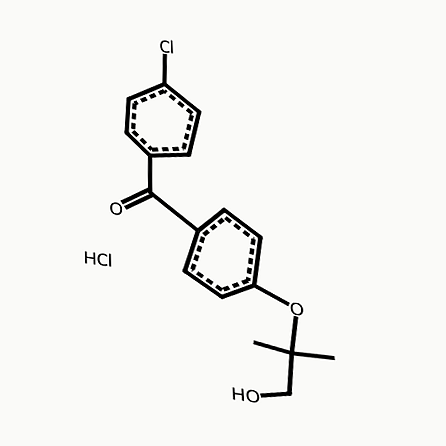 CC(C)(CO)Oc1ccc(C(=O)c2ccc(Cl)cc2)cc1.Cl